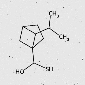 CC(C)C1C2CCC1(C(O)S)C2